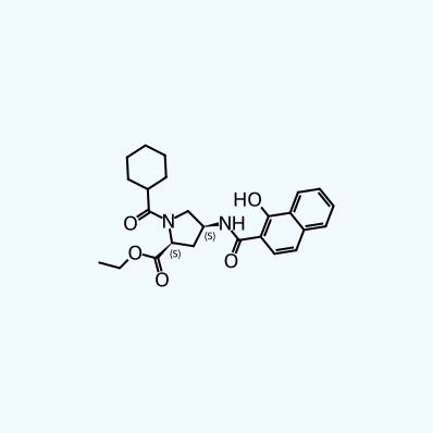 CCOC(=O)[C@@H]1C[C@H](NC(=O)c2ccc3ccccc3c2O)CN1C(=O)C1CCCCC1